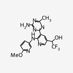 COc1ccc(Nc2ncc(C(O)C(F)(F)F)cc2-c2nc(C)nc(N)n2)cn1